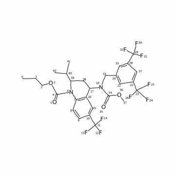 CCCOC(=O)N1c2ccc(C(F)(F)F)cc2C(N(Cc2cc(C(F)(F)F)cc(C(F)(F)F)c2)C(=O)OC)CC1C(C)C